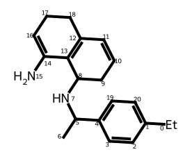 CCc1ccc(C(C)NC2CC=CC3=C2C(N)=CCC3)cc1